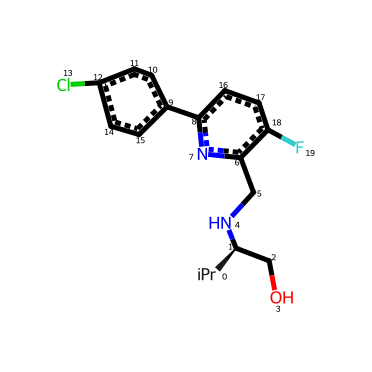 CC(C)[C@H](CO)NCc1nc(-c2ccc(Cl)cc2)ccc1F